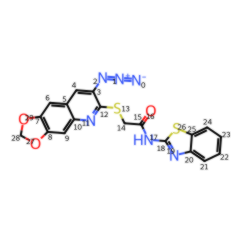 [N-]=[N+]=Nc1cc2cc3c(cc2nc1SCC(=O)Nc1nc2ccccc2s1)OCO3